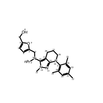 CCCN(Cc1ccc(CO)o1)c1c2c(nn1C)N(c1c(C)cc(C)cc1C)CCC2